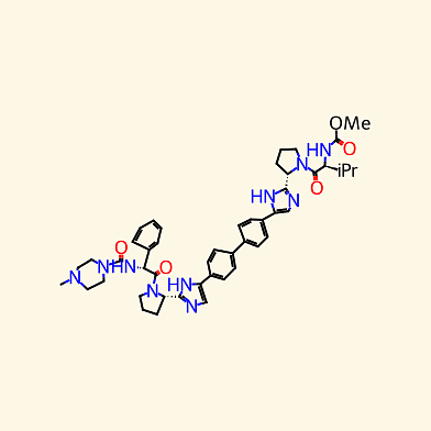 COC(=O)N[C@H](C(=O)N1CCC[C@H]1c1ncc(-c2ccc(-c3ccc(-c4cnc([C@@H]5CCCN5C(=O)[C@H](NC(=O)N5CCN(C)CC5)c5ccccc5)[nH]4)cc3)cc2)[nH]1)C(C)C